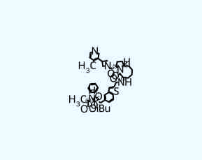 Cc1ccncc1C1CN(C(=O)[C@@H]2CC[C@@H]3CCCC[C@H](NC(=O)c4cc5cc(CP(=O)(N[C@@H](C)C(=O)OCC(C)C)Oc6ccccc6)ccc5s4)C(=O)N32)C1